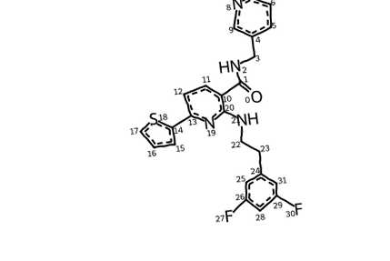 O=C(NCc1cccnc1)c1ccc(-c2cccs2)nc1NCCc1cc(F)cc(F)c1